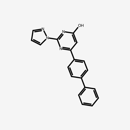 Oc1[c]c(-c2ccc(-c3ccccc3)cc2)nc(-n2cccn2)n1